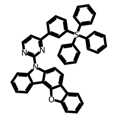 c1ccc(S(c2ccccc2)(c2ccccc2)c2cccc(-c3ccnc(-n4c5ccccc5c5c6oc7ccccc7c6ccc54)n3)c2)cc1